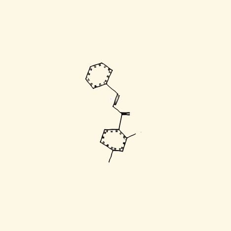 O=C(/C=C/c1ccccc1)c1ccc(F)cc1O